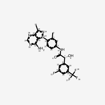 Cc1cc(NC(=O)[C@H](O)c2cc(F)cc(C(F)(F)F)c2)ccc1-n1nc(C)c2ncnc(N)c21